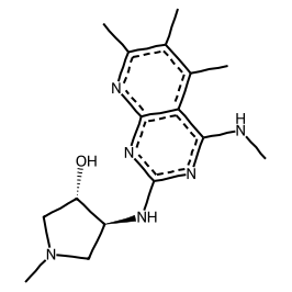 CNc1nc(N[C@H]2CN(C)C[C@@H]2O)nc2nc(C)c(C)c(C)c12